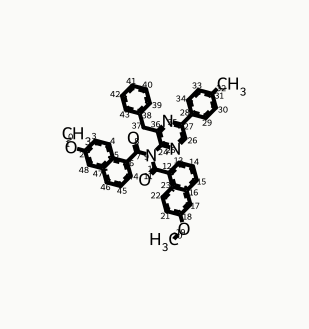 COc1ccc2c(C(=O)N(C(=O)c3cccc4cc(OC)ccc34)c3ncc(-c4ccc(C)cc4)nc3Cc3ccccc3)cccc2c1